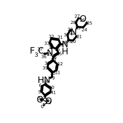 CS(=O)(=O)c1ccc(NCc2ccc(-c3cc4c(NC5CCN(C6CCOCC6)CC5)cccc4n3CC(F)(F)F)cc2)cc1